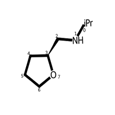 CC(C)NC[C@@H]1CCCO1